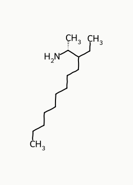 CCCCCCCCCC(CC)[C@@H](C)N